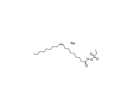 CCCCCCCC/C=C\CCCCCCCC(=O)OOS(=O)(=O)CC.[Na]